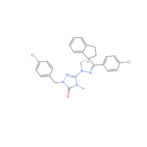 Cn1c(N2C[C@]3(CCc4ccccc43)C(c3ccc(Cl)cc3)=N2)nn(Cc2ccc(Cl)cc2)c1=O